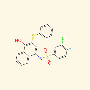 O=S(=O)(Nc1cc(Sc2ccccc2)c(O)c2ccccc12)c1ccc(F)c(Cl)c1